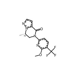 COc1nc(N2C[C@H](C)n3nccc3C2=O)ccc1C(F)(F)F